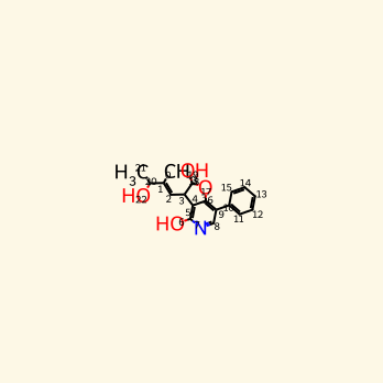 C/C(=C\C1c2c(O)ncc(-c3ccccc3)c2OC1O)C(C)O